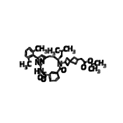 Cc1cccc(C)c1-c1cc2nc(n1)NS(=O)(=O)c1cccc(c1)C(=O)N(C1CC3(CC(CC(=O)OC(C)C)C3)C1)[C@H](CC(C)C)CC2